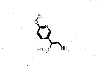 CCOC(=O)[C@H](CN)c1ccc(OCC)nc1